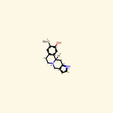 COc1cc2c(cc1O)[C@@H]1Cc3[nH]ccc3CN1CC2